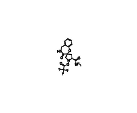 NC(=O)[C@@H]1C[C@]2(CN1OC(=O)C(F)(F)F)Oc1ccccc1CNC2=O